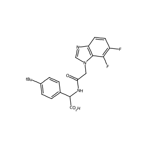 CC(C)(C)c1ccc(C(NC(=O)Cn2cnc3ccc(F)c(F)c32)C(=O)O)cc1